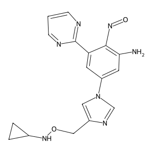 Nc1cc(-n2cnc(CONC3CC3)c2)cc(-c2ncccn2)c1N=O